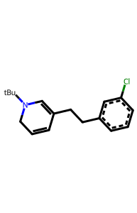 CC(C)(C)N1C=C(CCc2cccc(Cl)c2)C=CC1